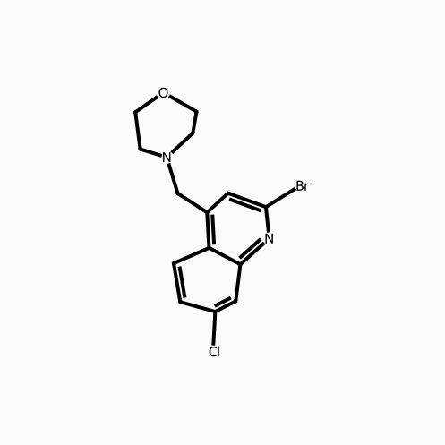 Clc1ccc2c(CN3CCOCC3)cc(Br)nc2c1